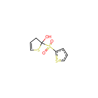 O=S(=O)(c1cccs1)C1(O)CC=CS1